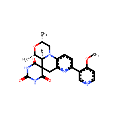 COc1ccncc1-c1ccc2c(n1)CC1(C(=O)NC(=O)NC1=O)[C@H]1[C@H](C)O[C@H](C)CN21